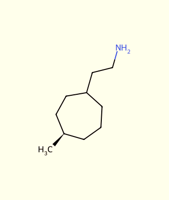 C[C@@H]1CCCC(CCN)CC1